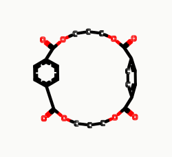 O=C1OCCCOC(=O)c2ccc(cc2)C(=O)OCCCOC(=O)C2=CC=C1CC2